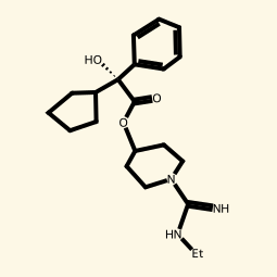 CCNC(=N)N1CCC(OC(=O)[C@](O)(c2ccccc2)C2CCCC2)CC1